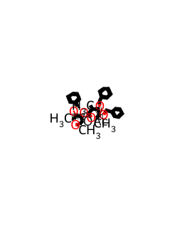 CC(=O)OC1C(C)OC(C)[C@@H](OCc2ccccc2)[C@@H]1O[C@@H]1OC(C)[C@@H](OCc2ccccc2)[C@H](OCc2ccccc2)C1C